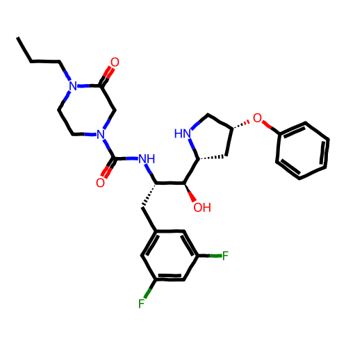 CCCN1CCN(C(=O)N[C@@H](Cc2cc(F)cc(F)c2)[C@H](O)[C@H]2C[C@@H](Oc3ccccc3)CN2)CC1=O